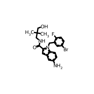 CC(C)(CO)CNC(=O)c1cc2cc(N)ccc2n1Cc1cc(Br)ccc1F